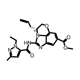 C=CC[C@@H]1COc2cc(C(=O)OC)cc3nc(NC(=O)c4cc(C)nn4CC)n1c23